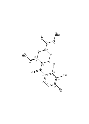 CC(C)(C)OC(=O)N1CCN(C(=O)c2ccc(Br)c(F)c2F)[C@@H](CO)C1